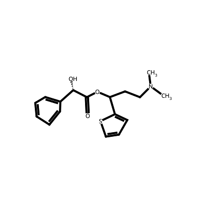 CN(C)CCC(OC(=O)[C@@H](O)c1ccccc1)c1cccs1